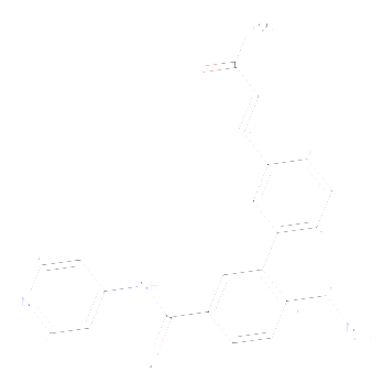 COC(=O)C=Cc1cccc(-c2cc(C(=O)Nc3ccncc3)ccc2CN)c1